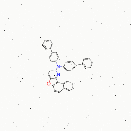 c1ccc(-c2ccc(N(c3ccc(-c4ccccc4)cc3)c3ccc4oc5ccc6ccccc6c5c4n3)cc2)cc1